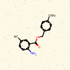 COc1ccc(COC(=O)c2cc(C#N)ccc2N)cc1